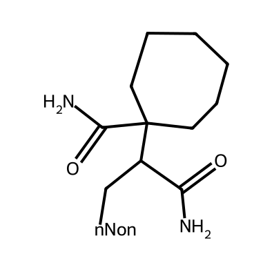 CCCCCCCCCCC(C(N)=O)C1(C(N)=O)CCCCCC1